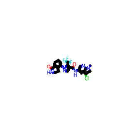 Cn1cc(Cl)c2cc(NC(=O)c3cnn(-c4cccc5c(=O)[nH]ccc45)c3C(F)(F)F)cnc21